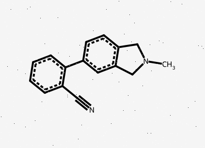 CN1Cc2ccc(-c3ccccc3C#N)cc2C1